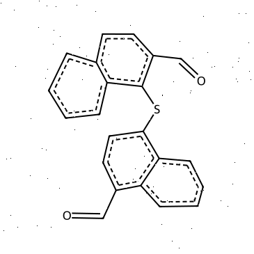 O=Cc1ccc2ccccc2c1Sc1ccc(C=O)c2ccccc12